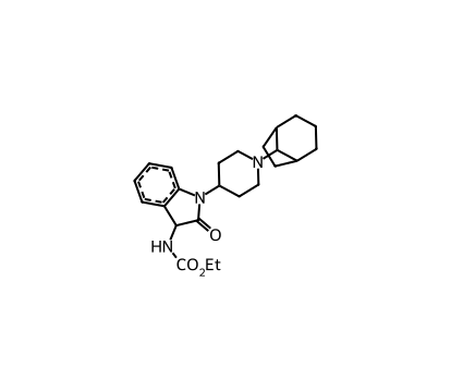 CCOC(=O)NC1C(=O)N(C2CCN(C3C4CCCC3CC4)CC2)c2ccccc21